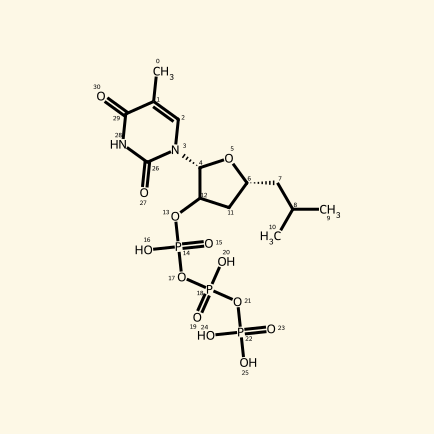 Cc1cn([C@@H]2O[C@H](CC(C)C)CC2OP(=O)(O)OP(=O)(O)OP(=O)(O)O)c(=O)[nH]c1=O